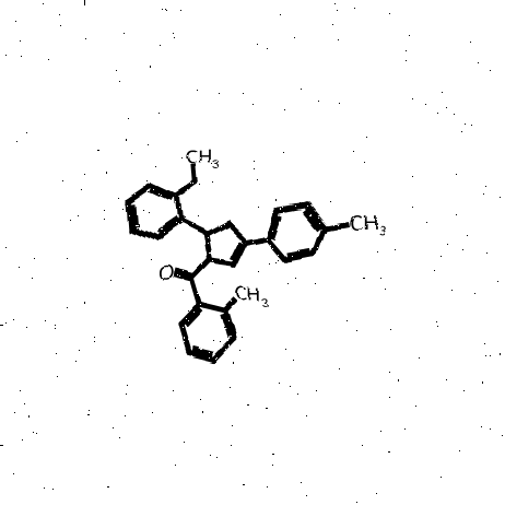 CCc1ccccc1C1CC(c2ccc(C)cc2)=CC1C(=O)c1ccccc1C